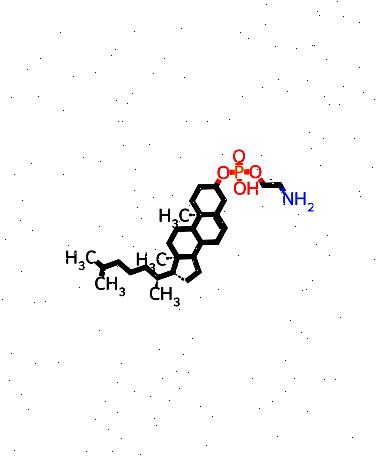 CC(C)CCC[C@@H](C)[C@H]1CCC2C3CC=C4CC(OP(=O)(O)OCCN)CC[C@]4(C)C3CC[C@@]21C